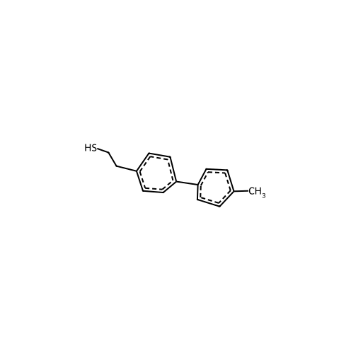 Cc1ccc(-c2ccc(CCS)cc2)cc1